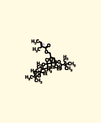 C/C=C(\C)C(=O)OCCC[Si](C)(OC(CC)[Si](C)(C)C)C(C)(CC)C(C)(CC)O[Si](C)(C)C(C)(CC)O[Si](C)(C)C